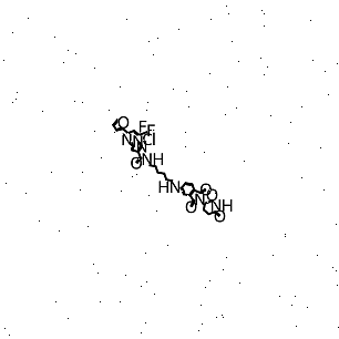 O=C1CCC(N2C(=O)c3ccc(NCCCCCCNC(=O)c4cc5nc(-c6ccco6)cc(C(F)(F)Cl)n5n4)cc3C2=O)C(=O)N1